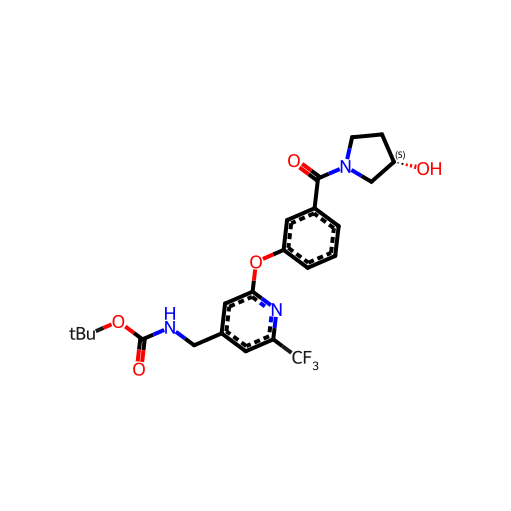 CC(C)(C)OC(=O)NCc1cc(Oc2cccc(C(=O)N3CC[C@H](O)C3)c2)nc(C(F)(F)F)c1